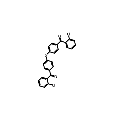 O=C(c1ccc(Sc2ccc(C(=O)c3ccccc3Cl)cc2)cc1)c1ccccc1Cl